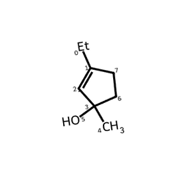 CCC1=[C]C(C)(O)CC1